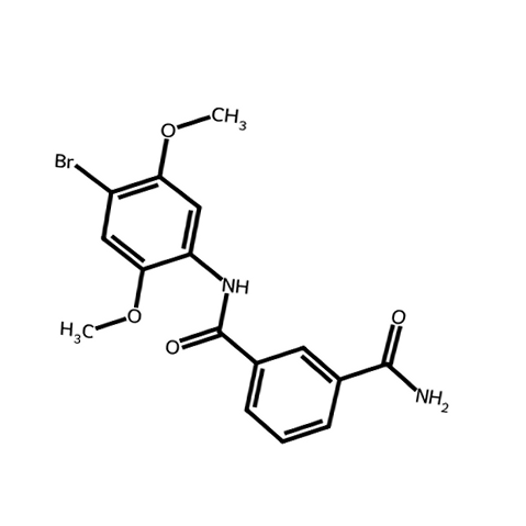 COc1cc(NC(=O)c2cccc(C(N)=O)c2)c(OC)cc1Br